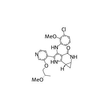 COc1c(Cl)cccc1Nc1c(-c2ccncc2OC[C@H](C)OC)[nH]c2c1C(=O)NC1C[C@H]21